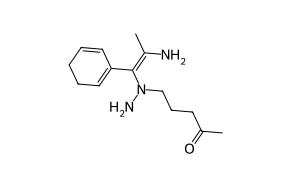 CC(=O)CCCN(N)/C(C1=CCCC=C1)=C(/C)N